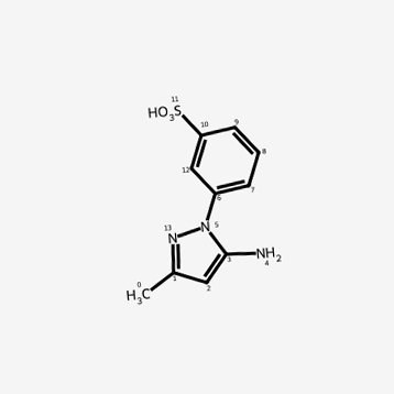 Cc1cc(N)n(-c2cccc(S(=O)(=O)O)c2)n1